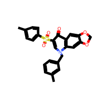 Cc1ccc(S(=O)(=O)c2cn(Cc3cccc(C)c3)c3cc4c(cc3c2=O)OCO4)cc1